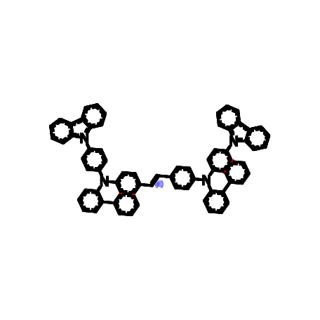 C(=C\c1ccc(N(c2ccc(-n3c4ccccc4c4ccccc43)cc2)c2ccccc2-c2ccccc2)cc1)/c1ccc(N(c2ccc(-n3c4ccccc4c4ccccc43)cc2)c2ccccc2-c2ccccc2)cc1